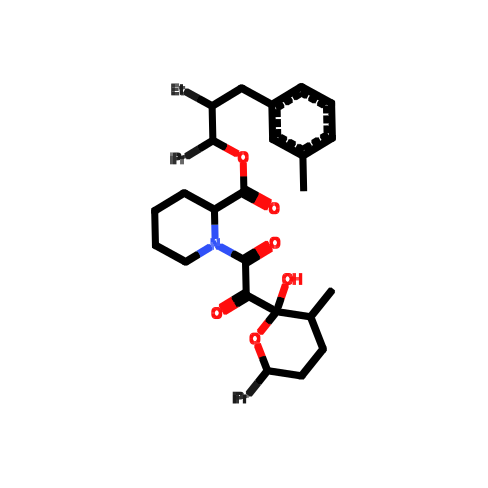 CCC(Cc1cccc(C)c1)C(OC(=O)C1CCCCN1C(=O)C(=O)C1(O)OC(C(C)C)CCC1C)C(C)C